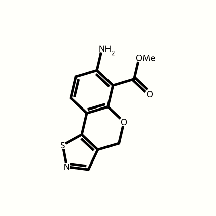 COC(=O)c1c(N)ccc2c1OCc1cnsc1-2